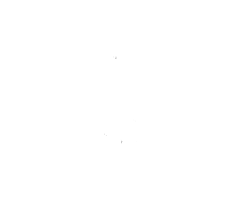 Cl.Nc1cc(Oc2ccnc3[nH]c(=O)cnc23)ccc1F